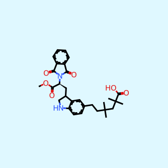 COC(=O)[C@H](CC1CNc2ccc(CCC(C)(C)CC(C)(C)C(=O)O)cc21)N1C(=O)c2ccccc2C1=O